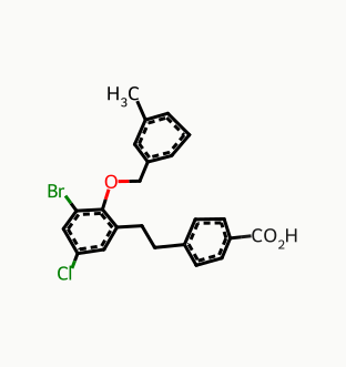 Cc1cccc(COc2c(Br)cc(Cl)cc2CCc2ccc(C(=O)O)cc2)c1